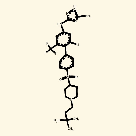 CC(C)(C)CCN1CCC(S(=O)(=O)c2ccc(-c3c(Cl)cc(Nc4n[nH]c(N)n4)cc3C(F)(F)F)cc2)CC1